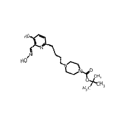 CC(C)(C)OC(=O)N1CCN(CCCCc2ccc(O)c(C=NO)n2)CC1